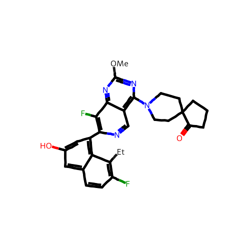 CCc1c(F)ccc2cc(O)cc(-c3ncc4c(N5CCC6(CCCC6=O)CC5)nc(OC)nc4c3F)c12